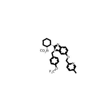 Cc1ccc(COc2ccc3nc([C@H]4CCCC[C@H]4C(=O)O)n(Cc4ccc(OC(F)(F)F)cc4)c3c2)nc1